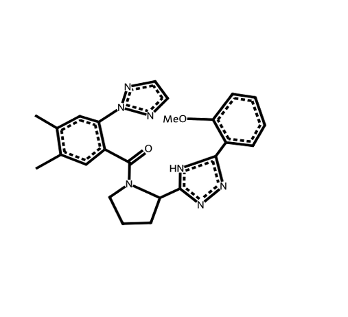 COc1ccccc1-c1nnc(C2CCCN2C(=O)c2cc(C)c(C)cc2-n2nccn2)[nH]1